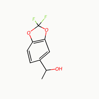 CC(O)c1ccc2c(c1)OC(F)(F)O2